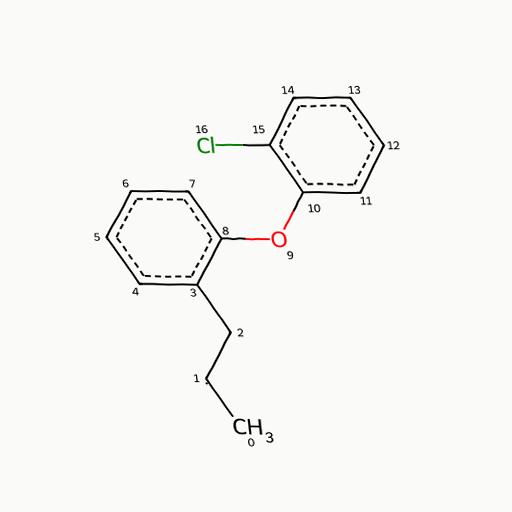 C[CH]Cc1ccccc1Oc1ccccc1Cl